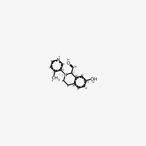 Cc1ccncc1N1CCc2ccc(O)cc2C1C=O